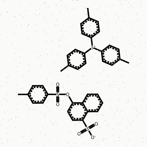 Cc1ccc(S(=O)(=O)Oc2ccc(S(=O)(=O)[O-])c3ccccc23)cc1.Cc1ccc([S+](c2ccc(C)cc2)c2ccc(C)cc2)cc1